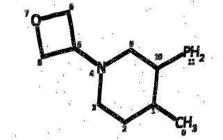 CC1CCN(C2COC2)CC1P